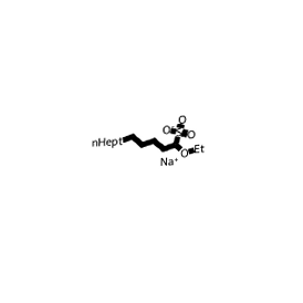 CCCCCCCCCCCC(OCC)S(=O)(=O)[O-].[Na+]